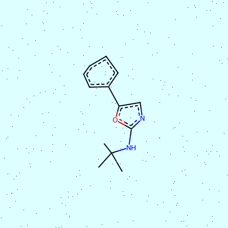 CC(C)(C)Nc1ncc(-c2ccccc2)o1